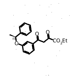 CCOC(=O)C(=O)CC(=O)c1cccc(O[C@@H](C)c2ccccc2)c1